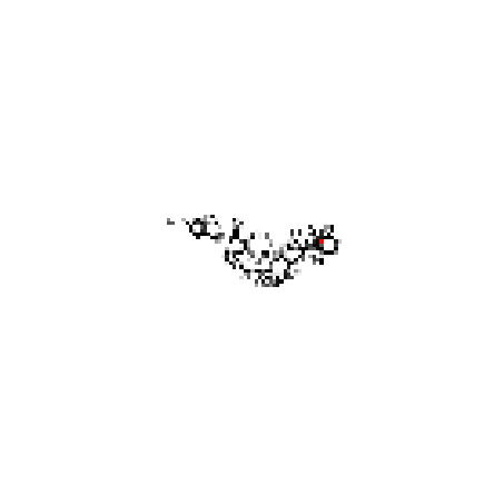 CC[C@H](C)C([C@@H](CC(=O)N1CCC[C@H]1[C@H](OC)[C@@H](C)C(=O)N[C@H](CO)Cc1ccc(N)cc1)OC)N(C)C(=O)[C@@H](NC(=O)[C@@H]1[C@H]2CC[C@@H]([C@H]2C)N1C)C(C)C